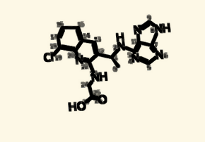 C[C@H](Nc1ncnc2[nH]cnc12)c1cc2cccc(Cl)c2nc1NCC(=O)O